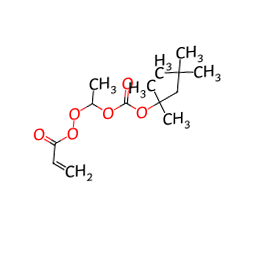 C=CC(=O)OOC(C)OC(=O)OC(C)(C)CC(C)(C)C